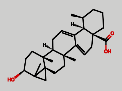 C[C@H]1CCC[C@]2(C(=O)O)CC=C3C(=CC[C@H]4[C@@]3(C)CC[C@@]35CC3(C)[C@@H](O)CC[C@]45C)[C@@H]12